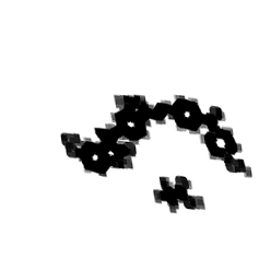 COc1ccc2c(c1)C1(CC1c1ccc3c(/C=C/c4ccc(C(=O)N5CCN(C)CC5)cc4)n[nH]c3c1)C(=O)N2.O=C(O)C(F)(F)F